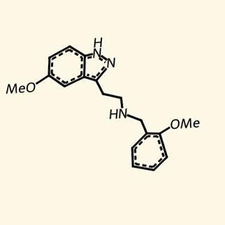 COc1ccc2[nH]nc(CCNCc3ccccc3OC)c2c1